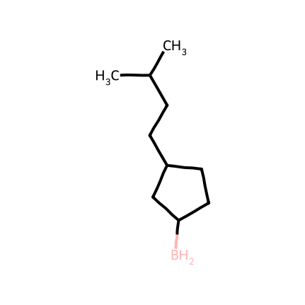 BC1CCC(CCC(C)C)C1